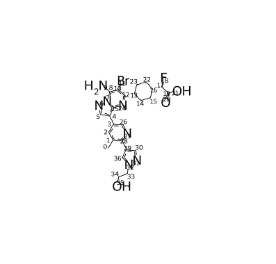 Cc1cc(-c2cnn3c(N)c(Br)c([C@H]4CC[C@@H](C(F)C(=O)O)CC4)nc23)cnc1-c1cnn(CCO)c1